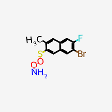 Cc1cc2cc(F)c(Br)cc2cc1SOON